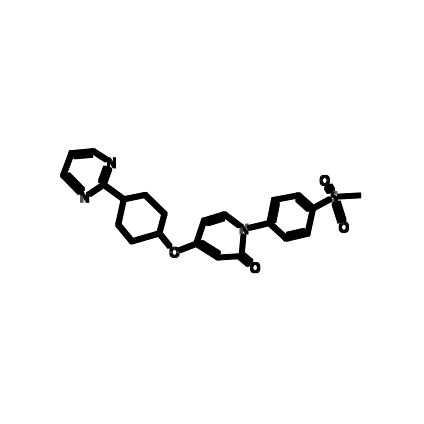 CS(=O)(=O)c1ccc(-n2ccc(OC3CCC(c4ncccn4)CC3)cc2=O)cc1